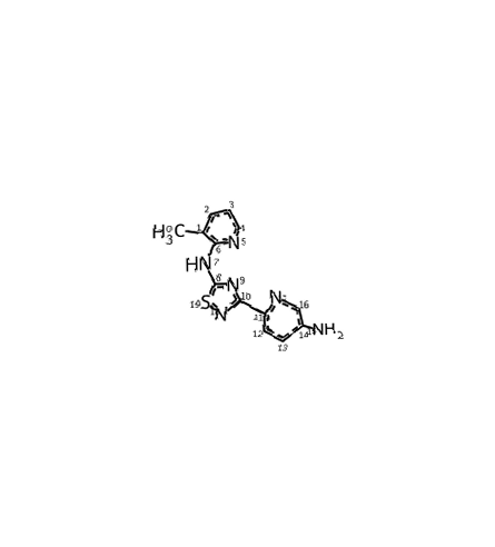 Cc1cccnc1Nc1nc(-c2ccc(N)cn2)ns1